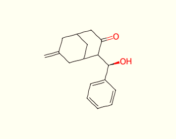 C=C1CC2CC(=O)C([C@@H](O)c3ccccc3)C(C1)C2